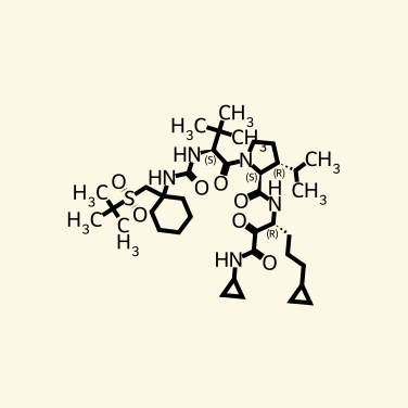 CC(C)[C@H]1CCN(C(=O)[C@@H](NC(=O)NC2(CS(=O)(=O)C(C)(C)C)CCCCC2)C(C)(C)C)[C@@H]1C(=O)N[C@H](CCCC1CC1)C(=O)C(=O)NC1CC1